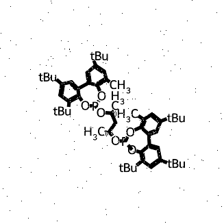 Cc1cc(C(C)(C)C)cc2c1op(O[C@H](C)C[C@@H](C)Op1oc3c(C)cc(C(C)(C)C)cc3c3cc(C(C)(C)C)cc(C(C)(C)C)c3o1)oc1c(C(C)(C)C)cc(C(C)(C)C)cc12